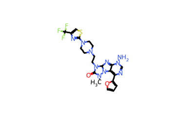 CN1C(=O)N(CCN2CCN(c3nc(C(F)(F)F)cs3)CC2)C2N=C3C(=C(c4ccco4)N=CN3N)N21